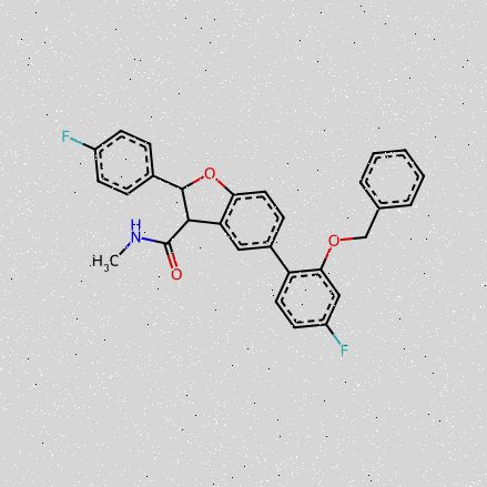 CNC(=O)C1c2cc(-c3ccc(F)cc3OCc3ccccc3)ccc2OC1c1ccc(F)cc1